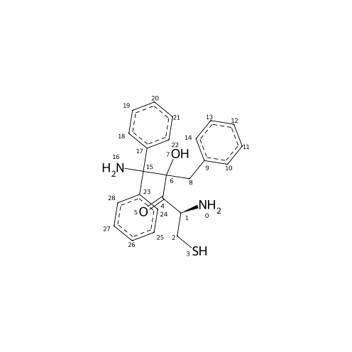 N[C@@H](CS)C(=O)C(O)(Cc1ccccc1)C(N)(c1ccccc1)c1ccccc1